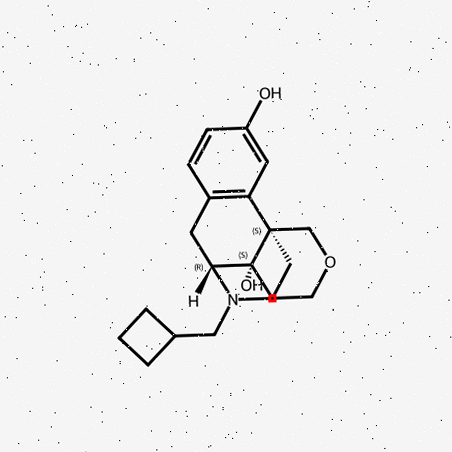 Oc1ccc2c(c1)[C@]13CCN(CC4CCC4)[C@H](C2)[C@]1(O)CCOC3